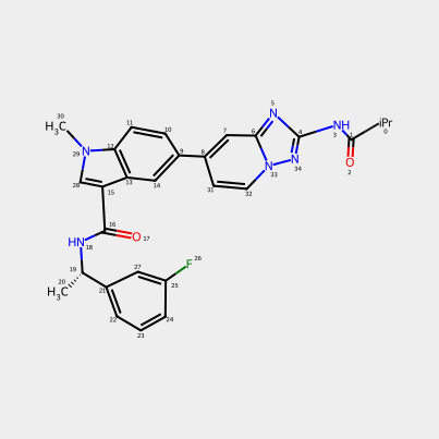 CC(C)C(=O)Nc1nc2cc(-c3ccc4c(c3)c(C(=O)N[C@@H](C)c3cccc(F)c3)cn4C)ccn2n1